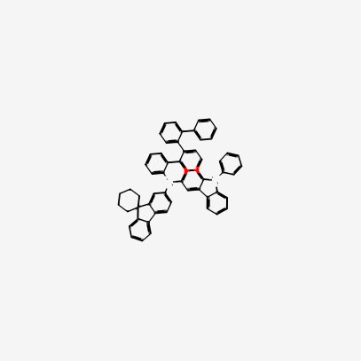 c1ccc(-c2ccccc2-c2ccccc2-c2ccccc2N(c2ccc3c(c2)C2(CCCCC2)c2ccccc2-3)c2ccc3c(c2)c2ccccc2n3-c2ccccc2)cc1